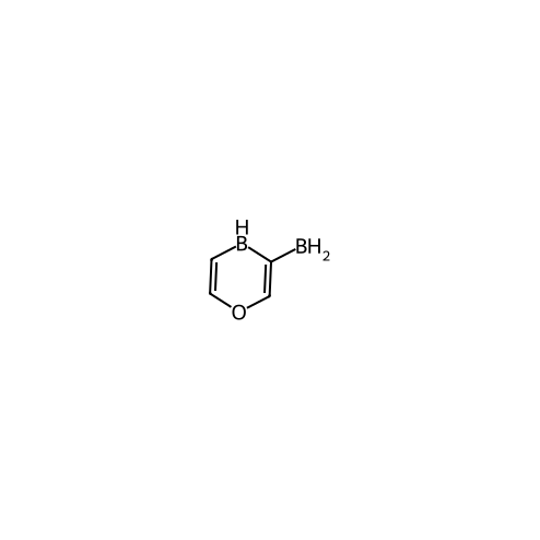 BC1=COC=CB1